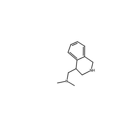 CN(C)CC1CNCc2ccccc21